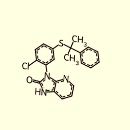 CC(C)(Sc1ccc(Cl)c(-n2c(=O)[nH]c3cccnc32)c1)c1ccccc1